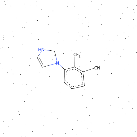 N#Cc1cccc(N2C=CNC2)c1C(F)(F)F